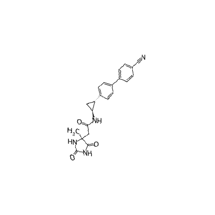 CC1(CC(=O)N[C@H]2C[C@@H]2c2ccc(-c3ccc(C#N)cc3)cc2)NC(=O)NC1=O